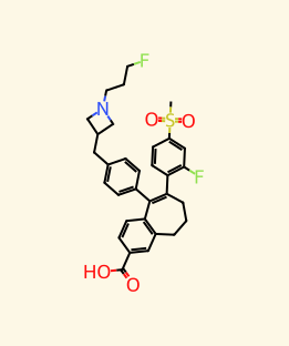 CS(=O)(=O)c1ccc(C2=C(c3ccc(CC4CN(CCCF)C4)cc3)c3ccc(C(=O)O)cc3CCC2)c(F)c1